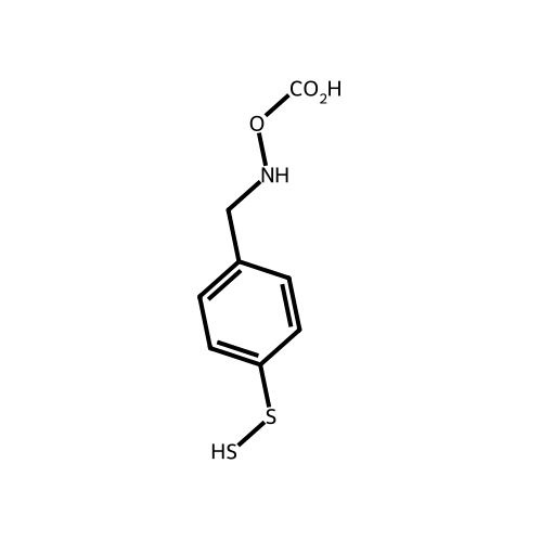 O=C(O)ONCc1ccc(SS)cc1